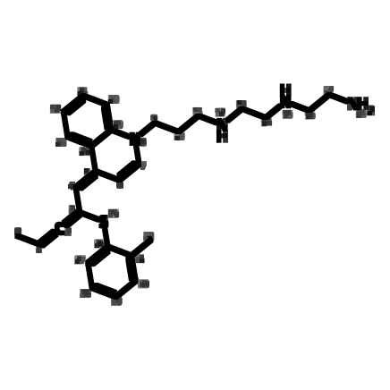 CC=C=C(/C=C1\C=CN(CCCNCCNCCN)c2ccccc21)Sc1ccccc1C